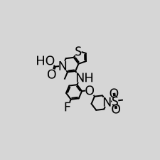 CC1=C(Nc2ccc(F)cc2O[C@@H]2CCCN(S(C)(=O)=O)C2)c2ccsc2CN1C(=O)O